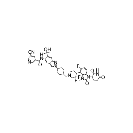 Cn1c(=O)n(C2CCC(=O)NC2=O)c2ccc(F)c([C@@H]3CCN(CC4CCC(n5cc6cc(NC(=O)c7cncc(C#N)c7)c(C(C)(C)O)cc6n5)CC4)CC3(F)F)c21